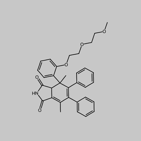 COCCOCCOc1ccccc1C1(C)C(c2ccccc2)=C(c2ccccc2)C(C)=C2C(=O)NC(=O)C21